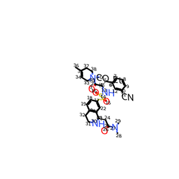 CCOC(=O)[N@@+]1(C(=O)[C@H](Cc2cccc(C#N)c2)NS(=O)(=O)c2ccc3c(c2)[C@@H](CC(=O)N(C)C)NCC3)CC=C(C)CC1